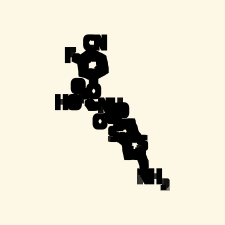 N#Cc1ccc(OP(=O)(O)CNS(=O)(=O)c2cc3sc(CN)cc3s2)cc1F